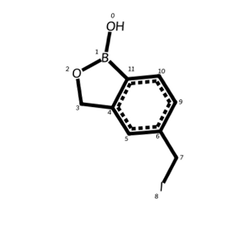 OB1OCc2cc(CI)ccc21